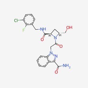 NC(=O)c1nn(CC(=O)N2[C@@H](CO)C[C@@H]2C(=O)NCc2cccc(Cl)c2F)c2ccccc12